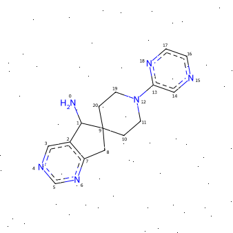 NC1c2cncnc2CC12CCN(c1cnccn1)CC2